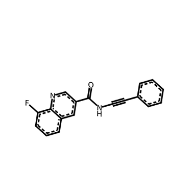 O=C(NC#Cc1ccccc1)c1cnc2c(F)cccc2c1